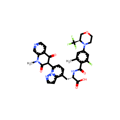 Cc1cc(N2CCOC[C@@H]2C(F)(F)F)cc(F)c1C(=O)N[C@@H](Cc1ccc(C2C(=O)c3ccncc3N(C)C2=O)n2nccc12)C(=O)O